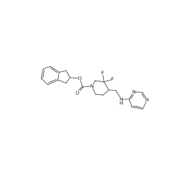 O=C(OC1Cc2ccccc2C1)N1CCC(CNc2ccncn2)C(F)(F)C1